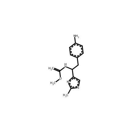 C=C(NC(Cc1ccc(N)cc1)c1csc(C)n1)OC